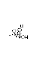 CCCN1CN(F)[N+](CCO)(c2ccc(Cl)cc2Cl)C1